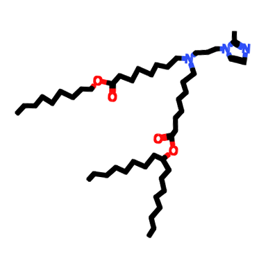 CCCCCCCCCOC(=O)CCCCCCCN(CCCCCCCC(=O)OC(CCCCCCCC)CCCCCCCC)CCCn1ccnc1C